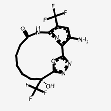 Nc1cc(C(F)(F)F)c2nc1-c1nnc(o1)[C@@](O)(C(F)(F)F)CCCCCC(=O)N2